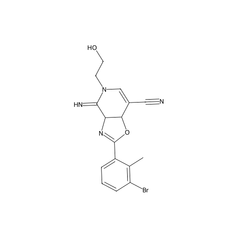 Cc1c(Br)cccc1C1=NC2C(=N)N(CCO)C=C(C#N)C2O1